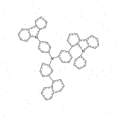 c1ccc(-n2c3ccccc3c3cccc(-c4cccc(N(c5ccc(-n6c7ccccc7c7ccccc76)cc5)c5cccc(-c6cccc7ccccc67)c5)c4)c32)cc1